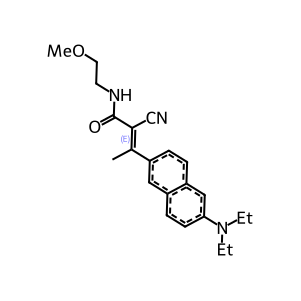 CCN(CC)c1ccc2cc(/C(C)=C(\C#N)C(=O)NCCOC)ccc2c1